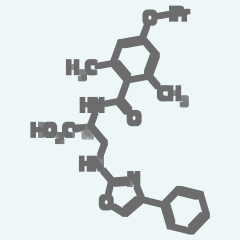 Cc1cc(OC(C)C)cc(C)c1C(=O)N[C@@H](CNc1nc(-c2ccccc2)co1)C(=O)O